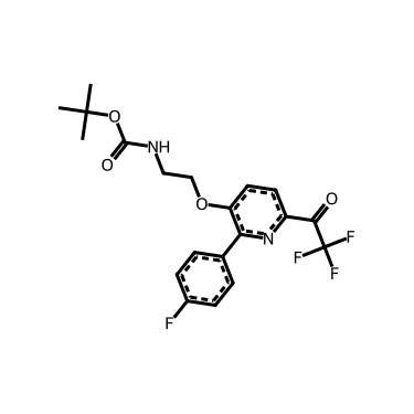 CC(C)(C)OC(=O)NCCOc1ccc(C(=O)C(F)(F)F)nc1-c1ccc(F)cc1